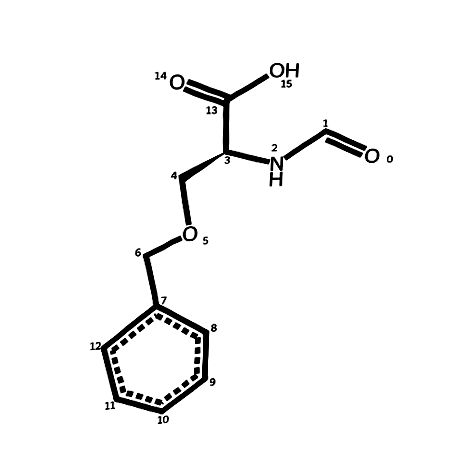 O=CN[C@@H](COCc1ccccc1)C(=O)O